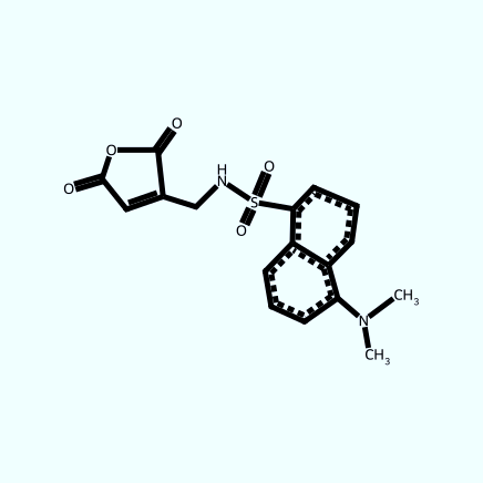 CN(C)c1cccc2c(S(=O)(=O)NCC3=CC(=O)OC3=O)cccc12